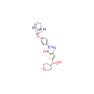 CN1[C@@H]2CC[C@H]1C[C@@H](Oc1ccc(-n3cnc4cc(C(O)C5CCOCC5)sc4c3=O)cc1)C2